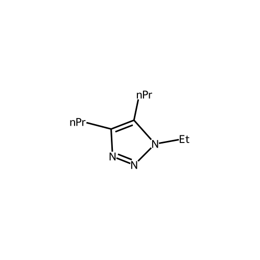 CCCc1nnn(CC)c1CCC